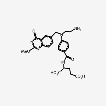 COc1nc2ccc(CN(CCN)c3ccc(C(=O)N[C@@H](CCC(=O)O)C(=O)O)cc3)cc2c(=O)[nH]1